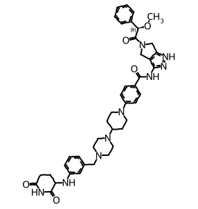 CO[C@@H](C(=O)N1Cc2[nH]nc(NC(=O)c3ccc(N4CCC(N5CCN(Cc6cccc(NC7CCC(=O)NC7=O)c6)CC5)CC4)cc3)c2C1)c1ccccc1